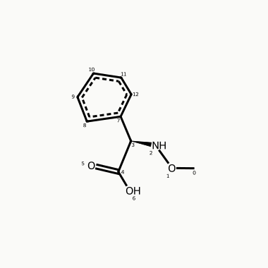 CON[C@@H](C(=O)O)c1ccccc1